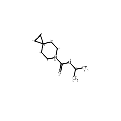 O=C(OC(C(F)(F)F)C(F)(F)F)N1CCC2(CC1)CC2